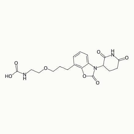 O=C(O)NCCOCCCc1cccc2c1oc(=O)n2C1CCC(=O)NC1=O